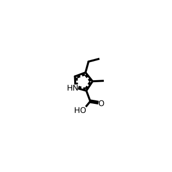 CCc1c[nH]c(C(=O)O)c1C